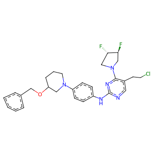 F[C@H]1CN(c2nc(Nc3ccc(N4CCCC(OCc5ccccc5)C4)cc3)ncc2CCCl)C[C@@H]1F